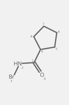 O=C(NBr)C1CCCC1